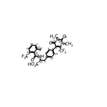 Cn1c(C(F)(F)F)c(-c2ccc(CC(NC(=O)c3c(F)cccc3C(F)(F)F)C(=O)O)cc2)c(=O)n(C)c1=O